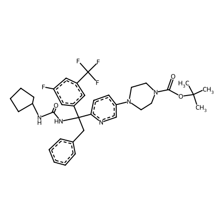 CC(C)(C)OC(=O)N1CCN(c2ccc(C(Cc3ccccc3)(NC(=O)NC3CCCC3)c3cc(F)cc(C(F)(F)F)c3)nc2)CC1